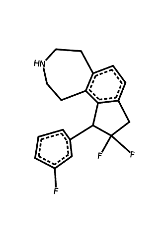 Fc1cccc(C2c3c(ccc4c3CCNCC4)CC2(F)F)c1